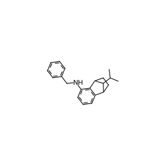 CC(C)C1C2CCC1c1c(NCc3ccccc3)cccc12